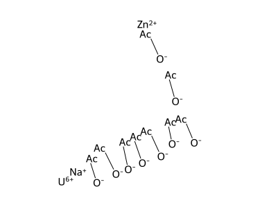 CC(=O)[O-].CC(=O)[O-].CC(=O)[O-].CC(=O)[O-].CC(=O)[O-].CC(=O)[O-].CC(=O)[O-].CC(=O)[O-].CC(=O)[O-].[Na+].[U+6].[Zn+2]